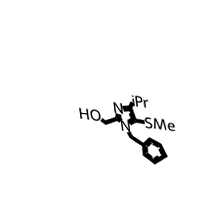 CSc1c(C(C)C)nc(CO)n1Cc1ccccc1